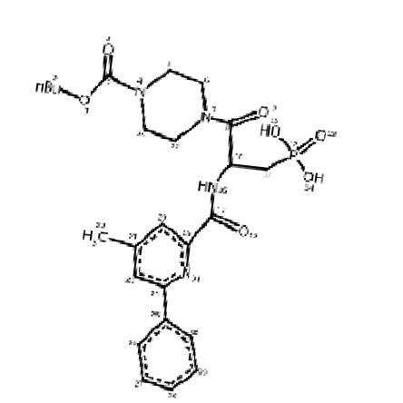 CCCCOC(=O)N1CCN(C(=O)C(CP(=O)(O)O)NC(=O)c2cc(C)cc(-c3ccccc3)n2)CC1